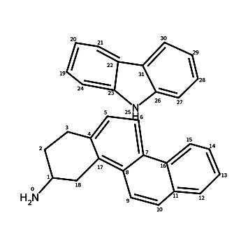 NC1CCc2ccc3c(ccc4ccccc43)c2C1.c1ccc2c(c1)[nH]c1ccccc12